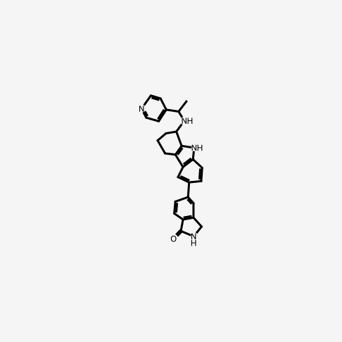 CC(NC1CCCc2c1[nH]c1ccc(-c3ccc4c(c3)CNC4=O)cc21)c1ccncc1